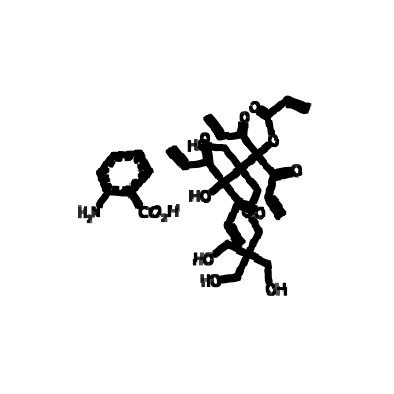 C=CC(=O)OC(C(=O)C=C)(C(=O)C=C)C(CO)(COCC(CO)(CO)CO)C(O)(C(=O)C=C)C(=O)C=C.Nc1ccccc1C(=O)O